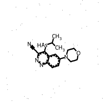 CC(C)[AsH]c1c(C#N)nnc2ccc(N3CCOCC3)cc12